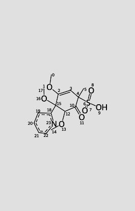 COC1=CC(C)(S(=O)(=O)O)C(=O)C(OC)C1(OC)c1ccccn1